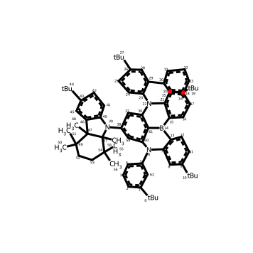 CC(C)(C)c1cccc(N2c3cc(C(C)(C)C)ccc3B3c4ccc(C(C)(C)C)cc4N(c4ccc(C(C)(C)C)cc4-c4ccccc4)c4cc(N5c6ccc(C(C)(C)C)cc6C6(C)C(C)(C)CCC(C)(C)C56C)cc2c43)c1